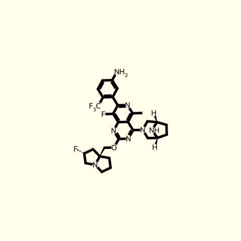 Cc1nc(-c2cc(N)ccc2C(F)(F)F)c(F)c2nc(OC[C@@]34CCCN3C[C@H](F)C4)nc(N3C[C@H]4CC[C@@H](C3)N4)c12